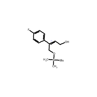 CC(C)(C)[Si](C)(C)OC/C(=C\CO)c1ccc(F)cc1